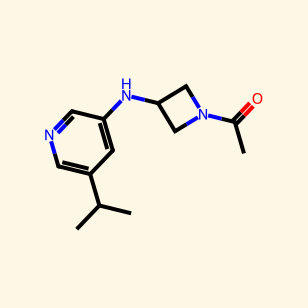 CC(=O)N1CC(Nc2cncc(C(C)C)c2)C1